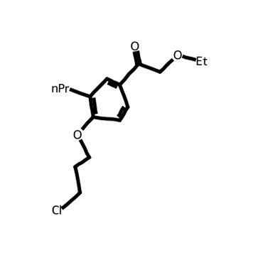 CCCc1cc(C(=O)COCC)ccc1OCCCCl